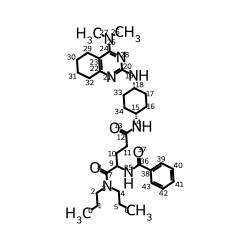 CCCN(CCC)C(=O)C(CCC(=O)N[C@H]1CC[C@@H](Nc2nc3c(c(N(C)C)n2)CCCC3)CC1)NC(=O)c1ccccc1